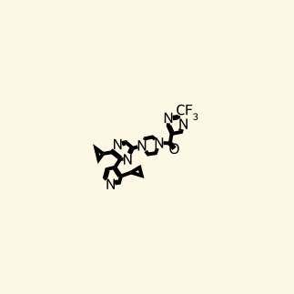 O=C(c1cnc(C(F)(F)F)nc1)N1CCN(c2cnc(C3CC3)c(-c3ccncc3C3CC3)n2)CC1